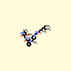 C=C(CC(=O)NCCN1CCC([C@H](C)n2c(C)c(C(=O)NCc3c(OC)cc(C)[nH]c3=O)c3ccccc32)CC1)CC(CC)CC